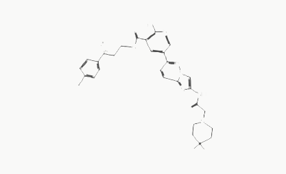 Cc1ncc(-c2ccc3nc(NC(=O)CN4CCC(F)(F)CC4)cn3n2)cc1C(=O)NCC[C@@H](O)c1ccc(Cl)cc1